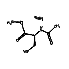 CC(=O)N[C@@H](CS)C(=O)ON.[NaH]